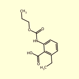 CCCOC(=O)Nc1cccc(CC)c1C(=O)O